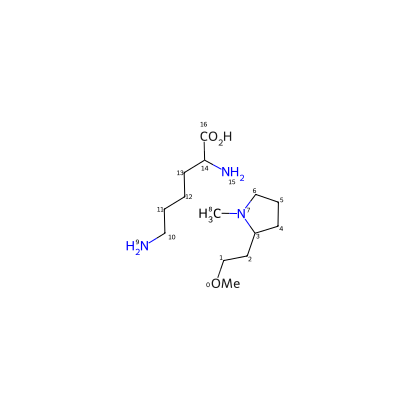 COCCC1CCCN1C.NCCCCC(N)C(=O)O